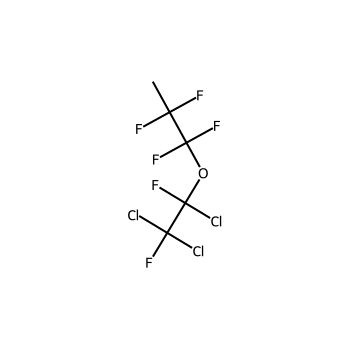 CC(F)(F)C(F)(F)OC(F)(Cl)C(F)(Cl)Cl